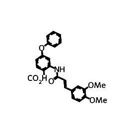 COc1ccc(C=CC(=O)Nc2cc(Oc3ccccc3)ccc2C(=O)O)cc1OC